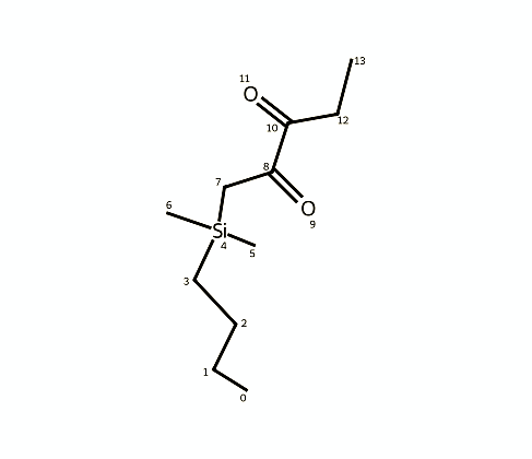 CCCC[Si](C)(C)CC(=O)C(=O)CC